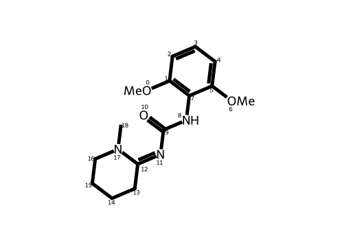 COc1cccc(OC)c1NC(=O)/N=C1/CCCCN1C